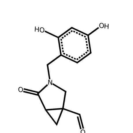 O=CC12CC1C(=O)N(Cc1ccc(O)cc1O)C2